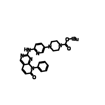 CC(C)(C)OC(=O)N1CCN(c2ccc(Nc3ncc4ccc(=O)n(-c5ccccc5)c4n3)nc2)CC1